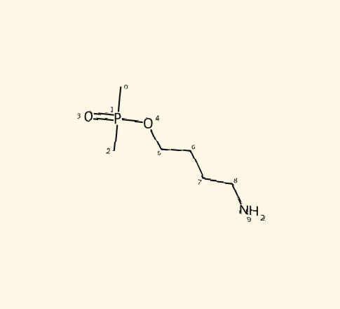 CP(C)(=O)OCCCCN